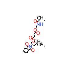 C=CC(=O)NCCOC(=O)CCC(=O)OCC(CC(C)C)N1C(=O)c2ccccc2C1=O